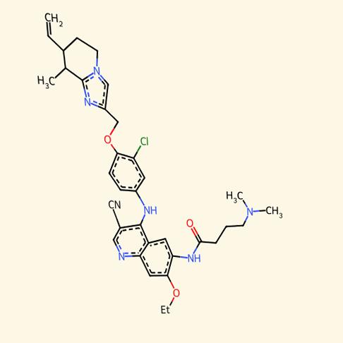 C=CC1CCn2cc(COc3ccc(Nc4c(C#N)cnc5cc(OCC)c(NC(=O)CCCN(C)C)cc45)cc3Cl)nc2C1C